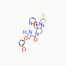 COc1cccc(OCC(N)C(=O)N2CCC3=NN(CC(F)F)C(=O)C3(Cc3ccccn3)C2)c1